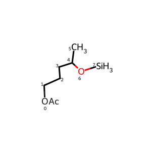 CC(=O)OCCCC(C)O[SiH3]